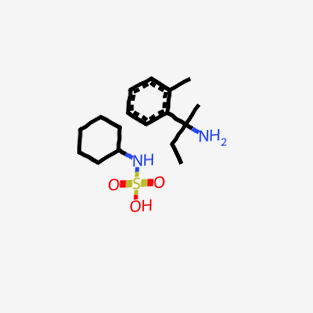 CCC(C)(N)c1ccccc1C.O=S(=O)(O)NC1CCCCC1